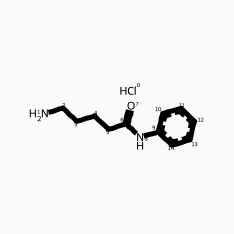 Cl.NCCCCC(=O)Nc1ccccc1